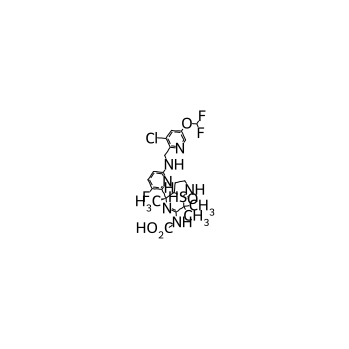 CC1(C)C(NC(=O)O)=N[C@](C)(c2nc(NCc3ncc(OC(F)F)cc3Cl)ccc2F)[C@@H]2CCN[SH]21=O